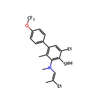 CC/C(C)=C/N(C)c1c(C)c(-c2ccc(OC(F)(F)F)cc2)cc(CC)c1SC